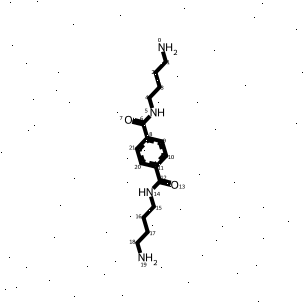 NCCCCNC(=O)c1ccc(C(=O)NCCCCN)cc1